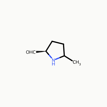 CC1CC[C@H](C=O)N1